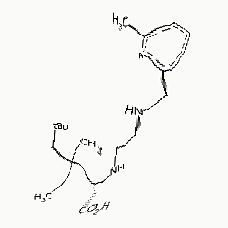 Cc1cccc(CNCCN[C@H](C(=O)O)C(C)(C)CC(C)(C)C)n1